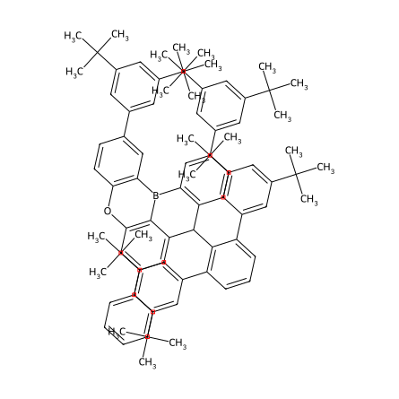 CC(C)(C)c1cc(-c2ccc3c(c2)B2c4cc(-c5cc(C(C)(C)C)cc(C(C)(C)C)c5)ccc4C(c4c(-c5cc(C(C)(C)C)cc(C(C)(C)C)c5)cccc4-c4cc(C(C)(C)C)cc(C(C)(C)C)c4)c4cc(-c5ccccc5)cc(c42)O3)cc(C(C)(C)C)c1